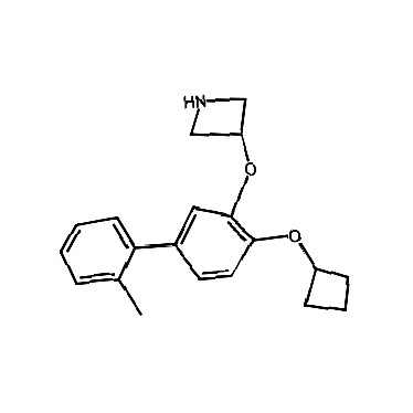 Cc1ccccc1-c1ccc(OC2CCC2)c(OC2CNC2)c1